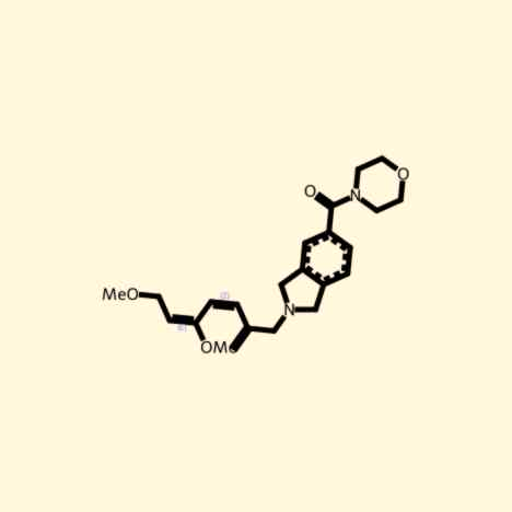 C=C(/C=C\C(=C/COC)OC)CN1Cc2ccc(C(=O)N3CCOCC3)cc2C1